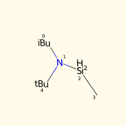 CCC(C)N([SiH2]C)C(C)(C)C